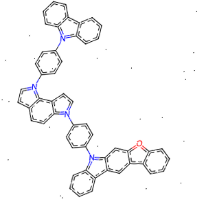 c1ccc2c(c1)oc1cc3c(cc12)c1ccccc1n3-c1ccc(-n2ccc3c2ccc2ccn(-c4ccc(-n5c6ccccc6c6ccccc65)cc4)c23)cc1